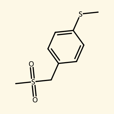 CSc1ccc(CS(C)(=O)=O)cc1